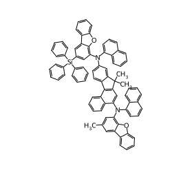 Cc1cc(N(c2cccc3ccccc23)c2cc3c(c4ccccc24)-c2ccc(N(c4cccc5ccccc45)c4cc([Si](c5ccccc5)(c5ccccc5)c5ccccc5)cc5c4oc4ccccc45)cc2C3(C)C)c2oc3ccccc3c2c1